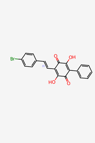 O=C1C(O)=C(c2ccccc2)C(=O)C(O)=C1/C=C/c1ccc(Br)cc1